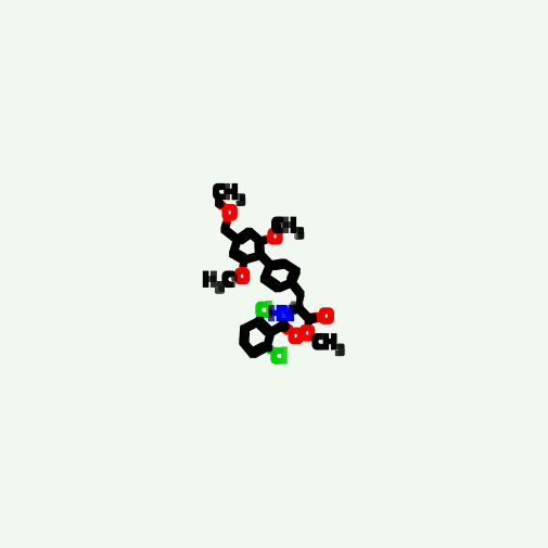 CCOCc1cc(OC)c(-c2ccc(C[C@H](NC(=O)c3c(Cl)cccc3Cl)C(=O)OC)cc2)c(OC)c1